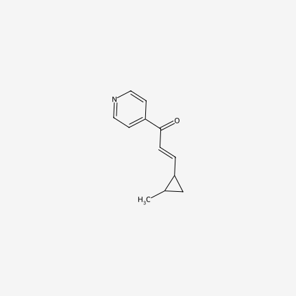 CC1CC1/C=C/C(=O)c1ccncc1